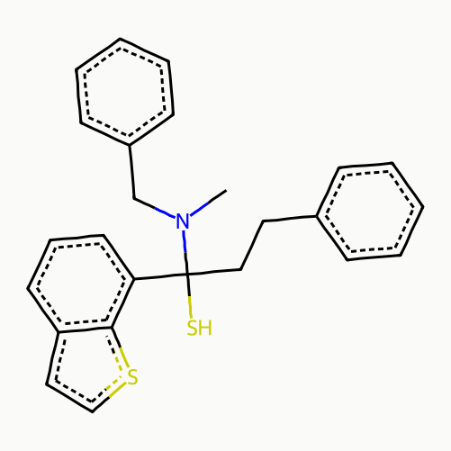 CN(Cc1ccccc1)C(S)(CCc1ccccc1)c1cccc2ccsc12